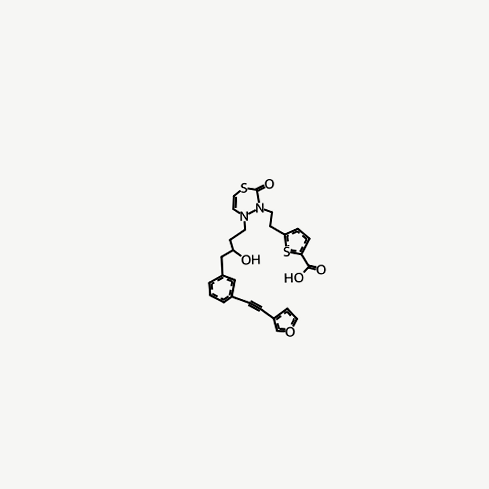 O=C(O)c1ccc(CCN2C(=O)SC=CN2CCC(O)Cc2cccc(C#Cc3ccoc3)c2)s1